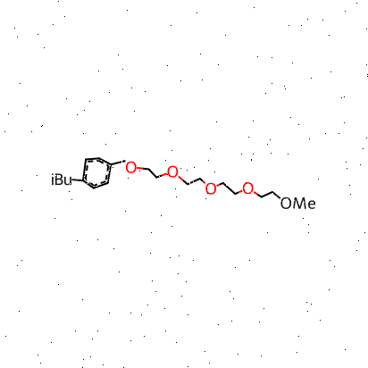 CCC(C)c1ccc(COCCOCCOCCOCCOC)cc1